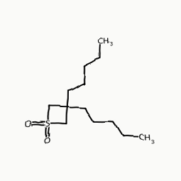 CCCCCC1(CCCCC)CS(=O)(=O)C1